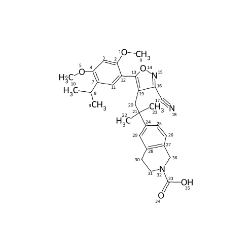 COc1cc(OC)c(C(C)C)cc1-c1onc(C#N)c1CC(C)(C)c1ccc2c(c1)CCN(C(=O)O)C2